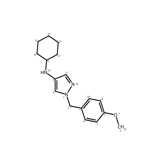 COc1ccc(Cn2cc(NC3CCCCC3)cn2)cc1